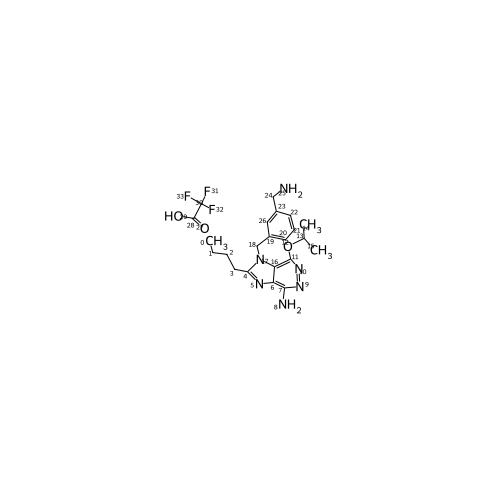 CCCCc1nc2c(N)nnc(OC(C)C)c2n1Cc1cccc(CN)c1.O=C(O)C(F)(F)F